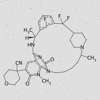 CC1CCCCn2c(=O)nc(c3cc(C4(C#N)CCOCC4)c(=O)n(C)c32)N[C@H](C)c2cccc(c2F)C(F)(F)C2CCN1CC2